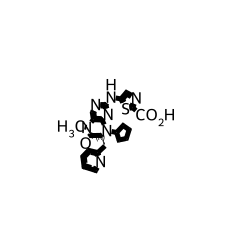 CN1C(=O)[C@@H](Cc2ccccn2)N(C2CCCC2)c2nc(Nc3cnc(C(=O)O)s3)ncc21